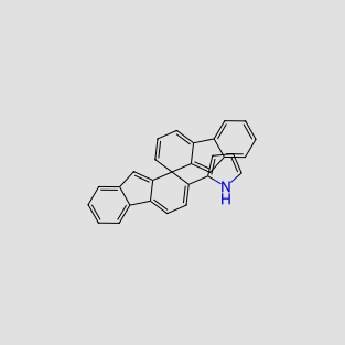 C1=CC2(C3=Cc4ccccc4C3=C1)C1=Cc3ccccc3C1=CC=C2c1ccc[nH]1